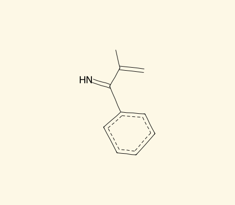 C=C(C)C(=N)c1ccccc1